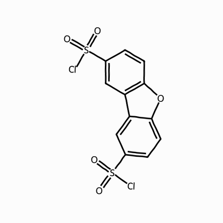 O=S(=O)(Cl)c1ccc2oc3ccc(S(=O)(=O)Cl)cc3c2c1